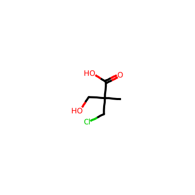 CC(CO)(CCl)C(=O)O